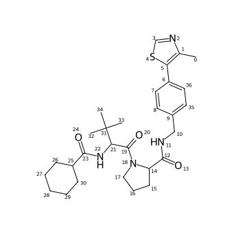 Cc1ncsc1-c1ccc(CNC(=O)C2CCCN2C(=O)C(NC(=O)C2CCCCC2)C(C)(C)C)cc1